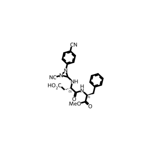 COC(=O)[C@H](Cc1ccccc1)NC(=O)[C@H](CC(=O)O)NC1N(C#N)N1c1ccc(C#N)cc1